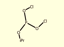 CC(C)OP(OCl)OCl